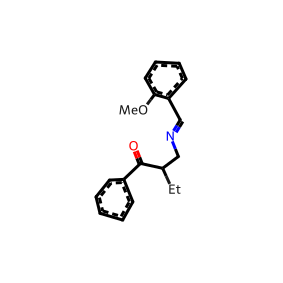 CCC(CN=Cc1ccccc1OC)C(=O)c1ccccc1